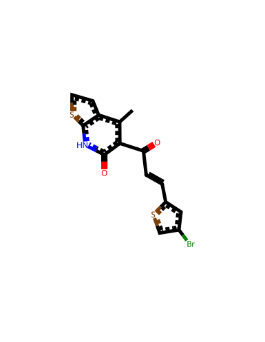 Cc1c(C(=O)C=Cc2cc(Br)cs2)c(=O)[nH]c2sccc12